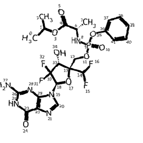 CC(C)OC(=O)[C@H](C)NP(=O)(OC[C@@]1(C(F)F)O[C@@H](n2cnc3c(=O)[nH]c(N)nc32)C(F)(F)[C@@H]1O)Oc1ccccc1